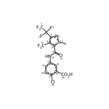 Cn1nc(C(F)(F)C(F)(F)F)c(C(F)(F)F)c1C(=O)Nc1cnc(Cl)c(C(=O)O)c1